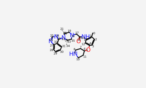 Cc1ccc(OC2CCNCC2)cc1NC(=O)CN1C[C@@H](C)N(c2ncnc3ccccc23)[C@@H](C)C1